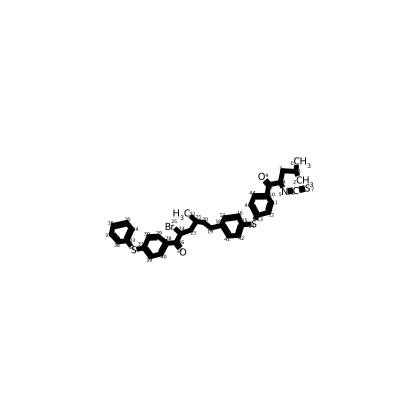 CC(C)CC(N=C=S)C(=O)c1ccc(Sc2ccc(CCC(C)CC(Br)C(=O)c3ccc(Sc4ccccc4)cc3)cc2)cc1